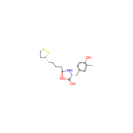 Cc1cc(C[C@@H](NC(=O)CCCC[C@@H]2CCSS2)B(O)O)ccc1O